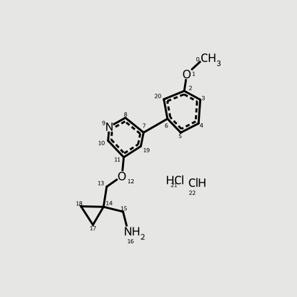 COc1cccc(-c2cncc(OCC3(CN)CC3)c2)c1.Cl.Cl